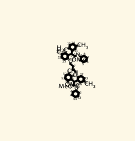 CO/C(=N\c1ccccc1)C(c1cc(C)ccc1C)c1cc(C)ccc1OCCCCOc1ccc(C)cc1C(/C(=N/c1ccccc1)OC)c1cc(C)ccc1OC